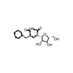 O=c1[nH]c(=S)n([C@@H]2O[C@H](CO)[C@@H](O)[C@H]2O)cc1Cc1ccccc1